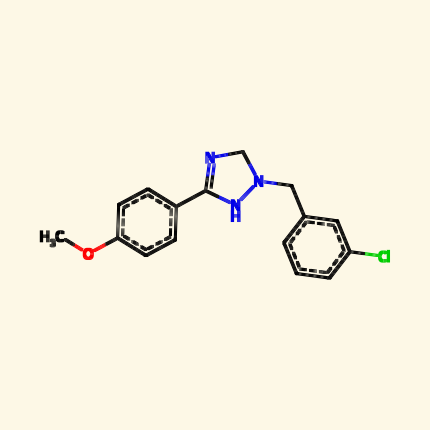 COc1ccc(C2=NCN(Cc3cccc(Cl)c3)N2)cc1